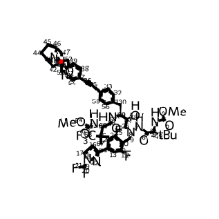 COC(=O)N[C@H](C(=O)NN(Cc1c(F)cc(-c2ccn(C(F)F)n2)cc1F)C[C@H](O)[C@H](Cc1ccc(C#Cc2ccc(N3CC4CCC(C3)N4C3COC3)nc2)cc1)NC(=O)[C@@H](NC(=O)OC)C(C)(C)C(F)(F)F)C(C)(C)C